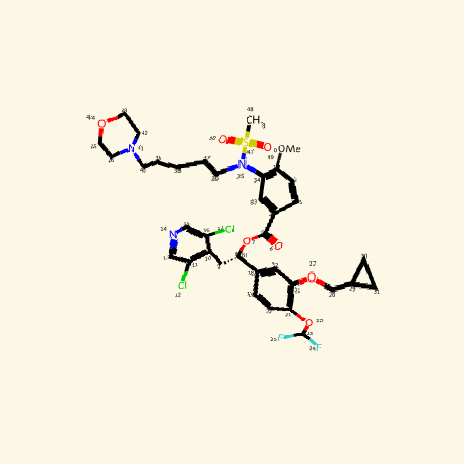 COc1ccc(C(=O)O[C@@H](Cc2c(Cl)cncc2Cl)c2ccc(OC(F)F)c(OCC3CC3)c2)cc1N(CCCCCN1CCOCC1)S(C)(=O)=O